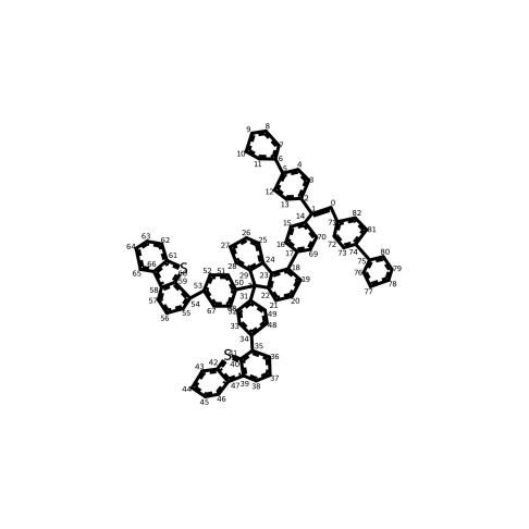 C(=C(\c1ccc(-c2ccccc2)cc1)c1ccc(-c2cccc3c2-c2ccccc2C3(c2ccc(-c3cccc4c3sc3ccccc34)cc2)c2ccc(-c3cccc4c3sc3ccccc34)cc2)cc1)/c1ccc(-c2ccccc2)cc1